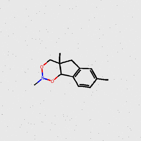 Cc1ccc2c(c1)CC1(C)CON(C)OC21